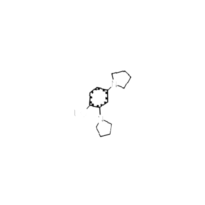 Oc1ccc(N2CCCC2)cc1N1CCCC1